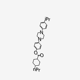 CCCC1CCC(C(=O)Oc2ccc(N3CCN(c4ccc(C(C)C)cc4)CC3)cc2)CC1